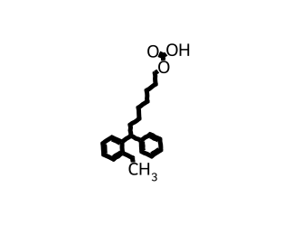 CCc1ccccc1C(CCCCCCCOC(=O)O)c1ccccc1